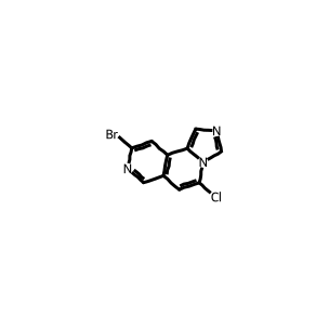 Clc1cc2cnc(Br)cc2c2cncn12